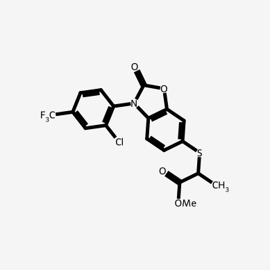 COC(=O)C(C)Sc1ccc2c(c1)oc(=O)n2-c1ccc(C(F)(F)F)cc1Cl